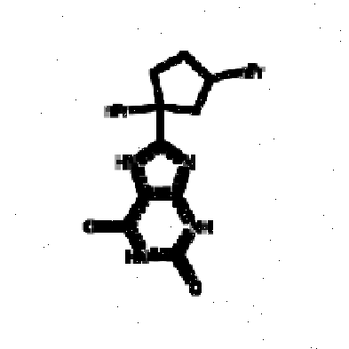 CCCC1CCC(CCC)(c2nc3[nH]c(=O)[nH]c(=O)c3[nH]2)C1